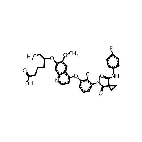 CCC(CCCC(=O)O)Oc1cc2nccc(Oc3cccc(NC(=O)C4(C(=O)Nc5ccc(F)cc5)CC4)c3Cl)c2cc1OC